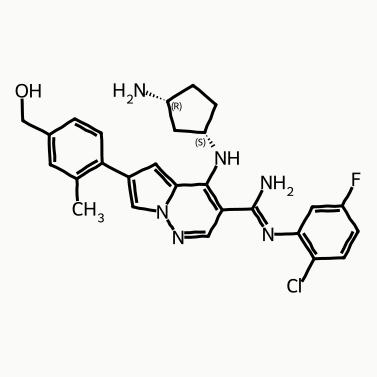 Cc1cc(CO)ccc1-c1cc2c(N[C@H]3CC[C@@H](N)C3)c(C(N)=Nc3cc(F)ccc3Cl)cnn2c1